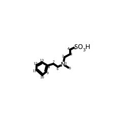 CN(CCCS(=O)(=O)O)CCc1ccccc1